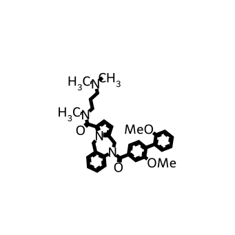 COc1ccccc1-c1ccc(C(=O)N2Cc3ccc(C(=O)N(C)CCCN(C)C)n3Cc3ccccc32)cc1OC